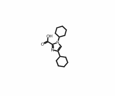 O=C(O)c1nc(C2CCCCC2)cn1C1CCCCC1